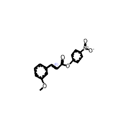 COc1cccc(/C=C/C(=O)Oc2ccc([N+](=O)[O-])cc2)c1